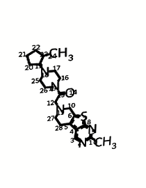 Cc1ncc2c3c(sc2n1)CN(CC(=O)N1CCN(C2CCCC2C)CC1)CC3